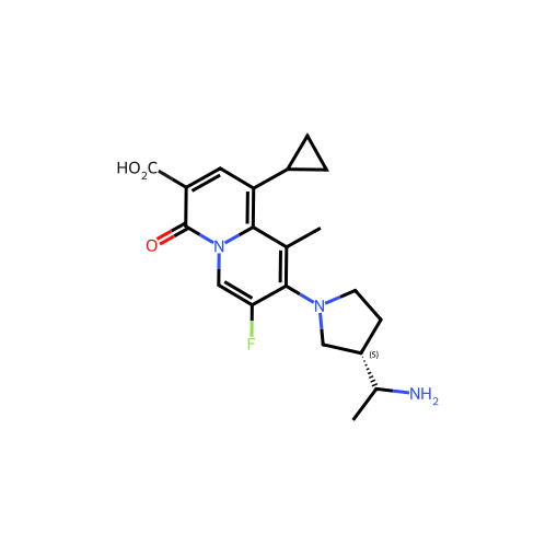 Cc1c(N2CC[C@H](C(C)N)C2)c(F)cn2c(=O)c(C(=O)O)cc(C3CC3)c12